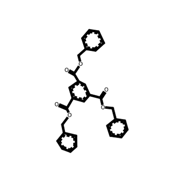 O=C(OCc1ccccc1)c1cc(C(=O)OCc2ccccc2)cc(C(=O)OCc2ccccc2)c1